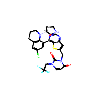 O=c1ccn(CC(F)(F)F)c(=O)n1Cc1cc2ncnc(-c3cc(Cl)cc4c3N([C@@H]3CCNC3)CCC4)c2s1